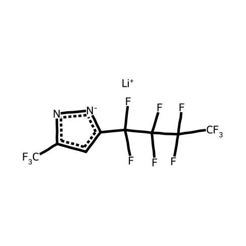 FC(F)(F)c1cc(C(F)(F)C(F)(F)C(F)(F)C(F)(F)F)[n-]n1.[Li+]